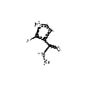 CC(C)(C)NC(=O)c1cc[nH]c1[O]